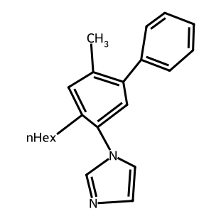 CCCCCCc1cc(C)c(-c2ccccc2)cc1-n1ccnc1